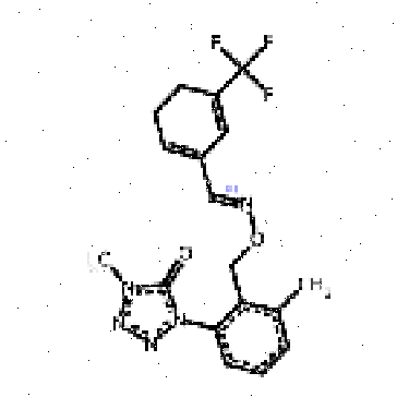 Cc1cccc(-n2nnn(C)c2=O)c1CO/N=C/C1=CCCC(C(F)(F)F)=C1